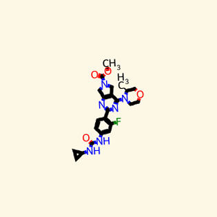 COC(=O)N1Cc2nc(-c3ccc(NC(=O)NC4CC4)cc3F)nc(N3CCOC[C@H]3C)c2C1